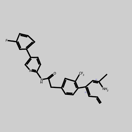 C=C/C=C(\C=C(\C)N)c1ccc(CC(=O)Nc2ccc(-c3cccc(F)c3)cn2)cc1C(F)(F)F